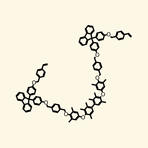 C=Cc1ccc(COc2ccc(C3(c4ccc(OCc5ccc(COc6c(C)cc(Oc7c(C)cc(-c8cc(C)c(Oc9cc(C)c(OCc%10ccc(COc%11ccc(C%12(c%13ccc(OCc%14ccc(C=C)cc%14)cc%13)c%13ccccc%13-c%13ccccc%13%12)cc%11)cc%10)c(C)c9)c(C)c8C)c(C)c7C)cc6C)cc5)cc4)c4ccccc4-c4ccccc43)cc2)cc1